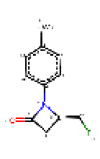 COc1ccc(N2C(=O)C[C@@H]2CF)cc1